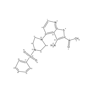 CC(=O)c1sc2nccc(N3CCN(S(=O)(=O)c4ccccc4)CC3)c2c1N